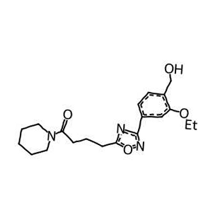 CCOc1cc(-c2noc(CCCC(=O)N3CCCCC3)n2)ccc1CO